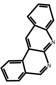 c1ccc2nc3ncc4ccccc4c3cc2c1